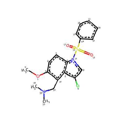 COc1ccc2c(c(Cl)cn2S(=O)(=O)c2ccccc2)c1CN(C)C